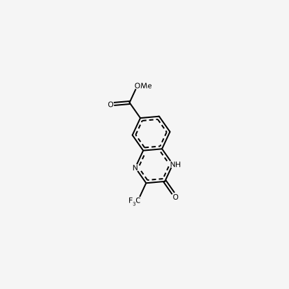 COC(=O)c1ccc2[nH]c(=O)c(C(F)(F)F)nc2c1